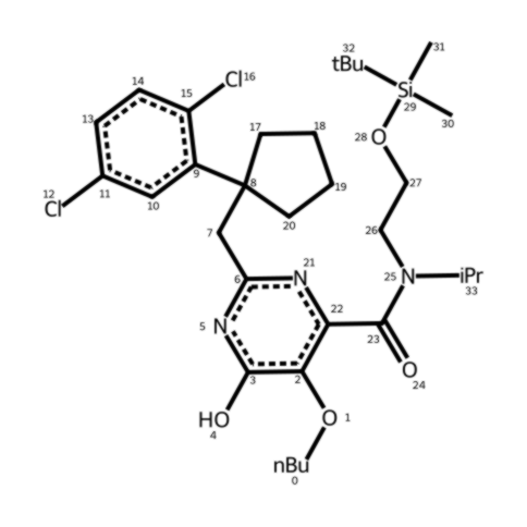 CCCCOc1c(O)nc(CC2(c3cc(Cl)ccc3Cl)CCCC2)nc1C(=O)N(CCO[Si](C)(C)C(C)(C)C)C(C)C